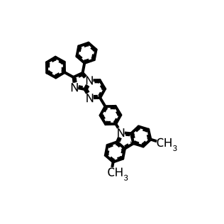 Cc1ccc2c(c1)c1cc(C)ccc1n2-c1ccc(-c2ccn3c(-c4ccccc4)c(-c4ccccc4)nc3n2)cc1